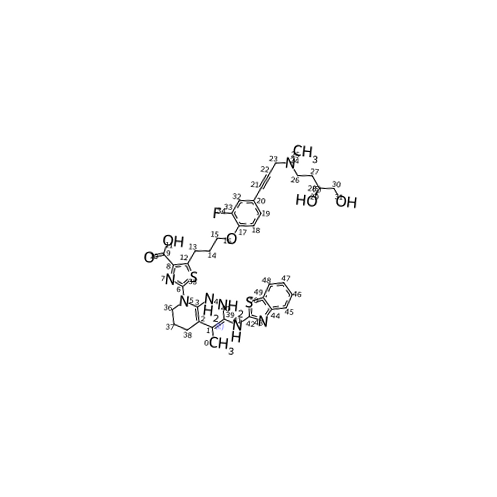 C/C(C1=C(N)N(c2nc(C(=O)O)c(CCCOc3ccc(C#CCN(C)CC[C@H](O)CO)cc3F)s2)CCC1)=C(/N)Nc1nc2ccccc2s1